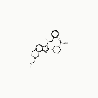 COCN1CCc2ccc3c(nc(C4CCC[C@@H](C(=O)O)C4)n3[C@H](C)Cc3ccccc3)c2C1